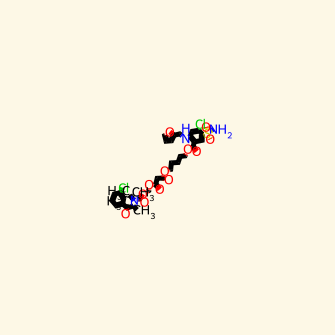 CC(C(=O)c1cccc(Cl)c1)N(C(=O)OCOC(=O)CC(=O)OCCCCCOC(=O)c1cc(S(N)(=O)=O)c(Cl)cc1NCc1ccco1)C(C)(C)C